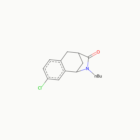 CCCCN1C(=O)C2Cc3ccc(Cl)cc3C1C2